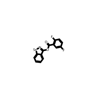 O=C(Oc1n[se]c2ccccc12)c1cc(F)ccc1F